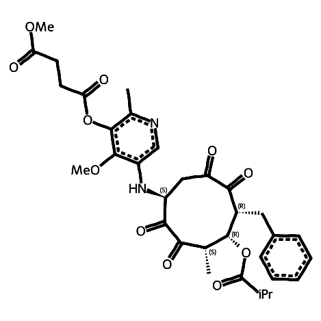 COC(=O)CCC(=O)Oc1c(C)ncc(N[C@H]2CC(=O)C(=O)[C@H](Cc3ccccc3)[C@H](OC(=O)C(C)C)[C@H](C)C(=O)C2=O)c1OC